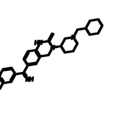 C=C1Nc2ccc(C(=N)c3ccnc(C)c3)cc2CN1[C@@H]1CCCN(CC2CCCCC2)C1